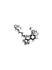 CCCCCCNc1nsnc1-c1ccc[n+](C)c1.[I-]